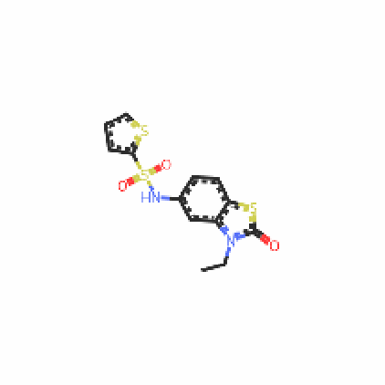 CCn1c(=O)sc2ccc(NS(=O)(=O)c3cccs3)cc21